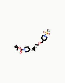 CCS(=O)(=O)N1CCC(COCC[C@@H]2C[C@@H]2C2CCN(C(=O)OC3(C)CC3)CC2)CC1